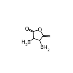 BC1C(=C)OC(=O)C1B